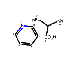 CCCC(CCC)C(=O)O.c1ccncc1